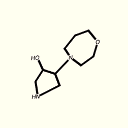 OC1CNCC1N1CCCOCC1